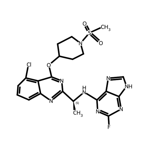 C[C@H](Nc1nc(F)nc2[nH]cnc12)c1nc(OC2CCN(S(C)(=O)=O)CC2)c2c(Cl)cccc2n1